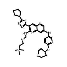 C[Si](C)(C)CCOCNc1nc2cc(Nc3ccc(OC4CCOCC4)nc3)cnc2cc1-c1nnc(C2CCCC2)s1